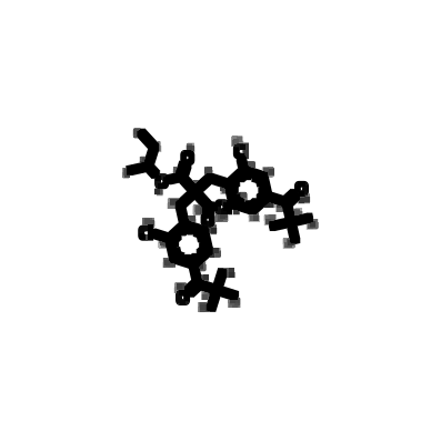 CCC(C)OC(=O)C(Cc1ccc(C(=O)C(C)(C)C)cc1Cl)(Cc1ccc(C(=O)C(C)(C)C)cc1Cl)C(=O)O